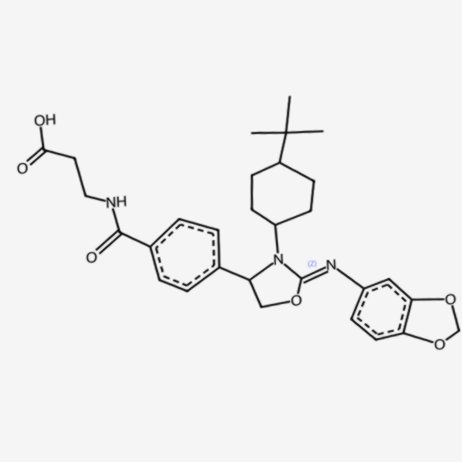 CC(C)(C)C1CCC(N2/C(=N/c3ccc4c(c3)OCO4)OCC2c2ccc(C(=O)NCCC(=O)O)cc2)CC1